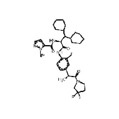 CC(C)n1nccc1C(=O)N[C@H](C(=O)Nc1ccc([C@H](C)C(=O)N2CCC(F)(F)C2)cc1F)C(C1CCCCC1)C1CCCCC1